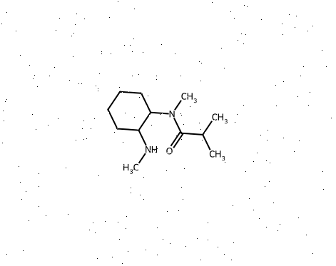 CNC1CCCCC1N(C)C(=O)C(C)C